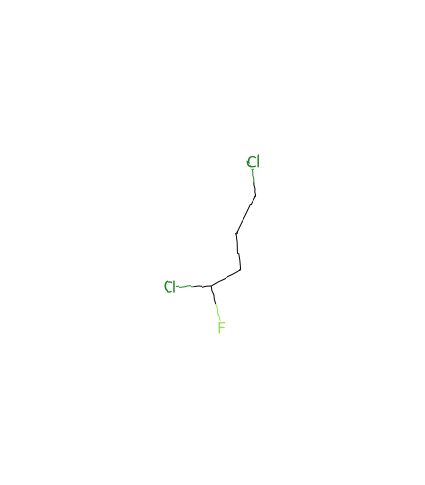 FC(Cl)CCCCl